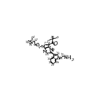 CC(C)(C)C(=O)c1cn(COCC[Si](C)(C)C)c2ncc(-c3cn(CCN)c4ccccc34)nc12